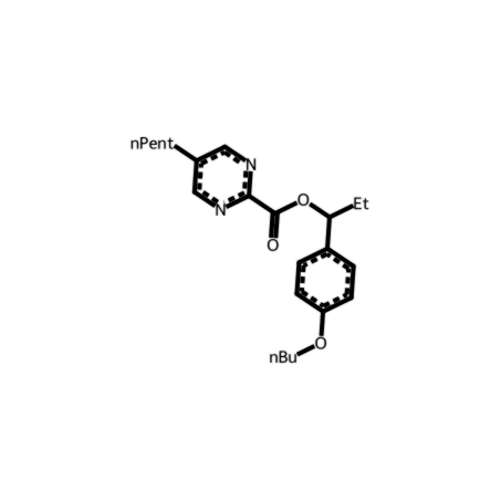 CCCCCc1cnc(C(=O)OC(CC)c2ccc(OCCCC)cc2)nc1